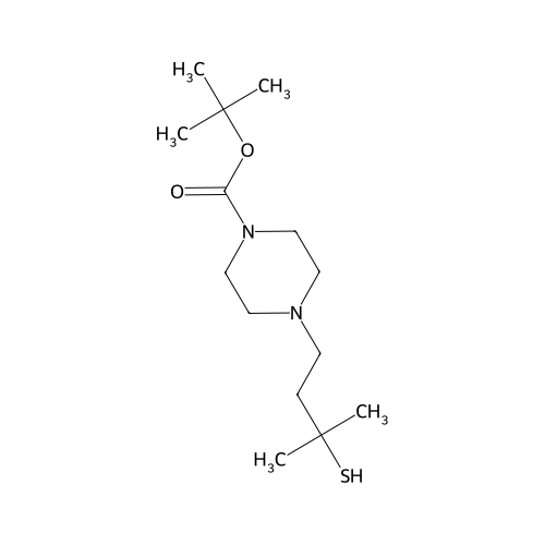 CC(C)(S)CCN1CCN(C(=O)OC(C)(C)C)CC1